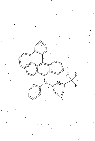 FC(F)(F)c1cccc(N(c2ccccc2)c2c3ccccc3c(-c3ccccc3-c3ccccc3)c3ccccc23)n1